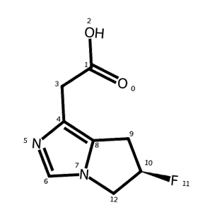 O=C(O)Cc1ncn2c1C[C@@H](F)C2